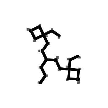 CCCC(OCC1(CC)COC1)OCC1(CC)COC1